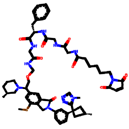 CSc1cc(C(COCNC(=O)CNC(=O)[C@H](Cc2ccccc2)NC(=O)CNC(=O)CNC(=O)CCCCCN2C(=O)C=CC2=O)N2CCC[C@H](C)C2)cc2c1CN(c1cccc([C@]3(c4nncn4C)C[C@@H](C)C3)c1)C2=O